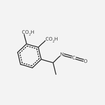 CC(N=C=O)c1cccc(C(=O)O)c1C(=O)O